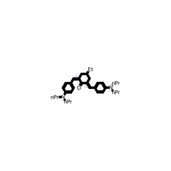 CCCN(CCC)c1ccc(/C=C2/CC(CC)C/C(=C\c3ccc(N(CCC)CCC)cc3)C2=O)cc1